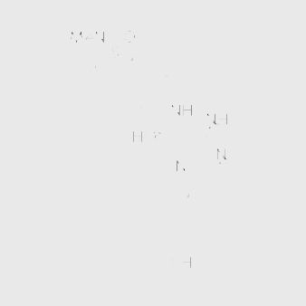 CNS(=O)(=O)c1ccc(NC(O)c2nc(-c3ccc(C)cc3)cnc2N)cc1